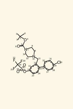 CC(C)(C)OC(=O)N1CCN(Cc2cc(OS(=O)(=O)C(F)(F)F)ccc2-c2ccc(Cl)cc2)CC1